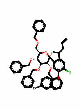 C=CCC1C[C@]2(O[C@H](COCc3ccccc3)[C@@H](OCc3ccccc3)[C@H](OCc3ccccc3)[C@H]2OCc2ccccc2)c2cc(Cc3ccc(CC)cc3)c(Cl)cc21